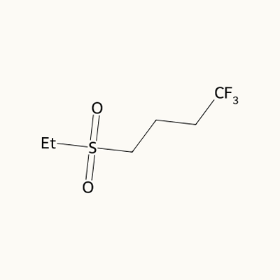 CCS(=O)(=O)CCCC(F)(F)F